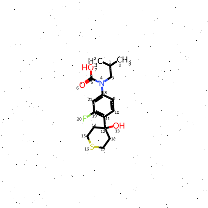 CC(C)CN(C(=O)O)c1ccc(C2(O)CCSCC2)c(F)c1